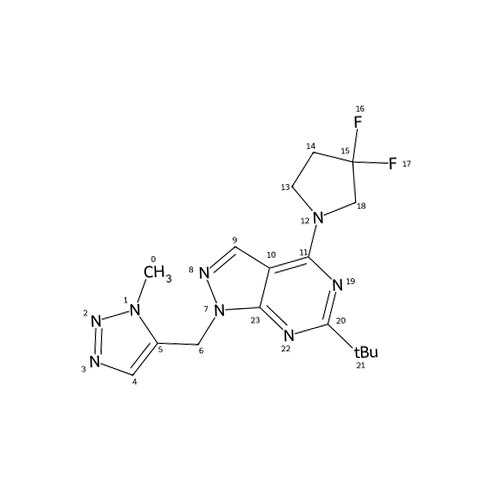 Cn1nncc1Cn1ncc2c(N3CCC(F)(F)C3)nc(C(C)(C)C)nc21